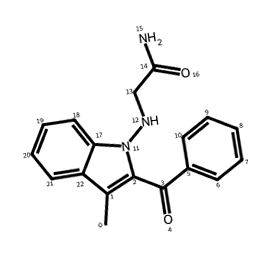 Cc1c(C(=O)c2ccccc2)n(NCC(N)=O)c2ccccc12